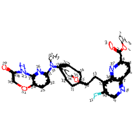 COC(=O)c1ccc2ncc(F)c(CCC34CCC(N(C)c5ccc6c(n5)NC(=O)CO6)(CC3)CO4)c2n1